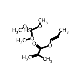 C=C(C)C(=O)OC=CC.CO[SiH](OC)OC